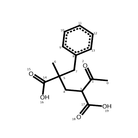 CC(=O)C(CC(C)(Cc1ccccc1)C(=O)O)C(=O)O